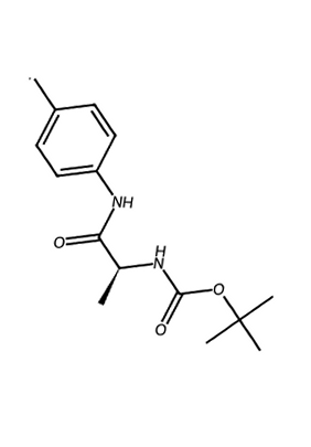 [CH2]c1ccc(NC(=O)[C@H](C)NC(=O)OC(C)(C)C)cc1